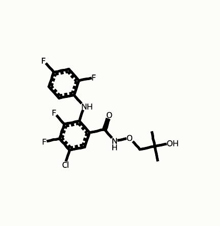 CC(C)(O)CONC(=O)c1cc(Cl)c(F)c(F)c1Nc1ccc(F)cc1F